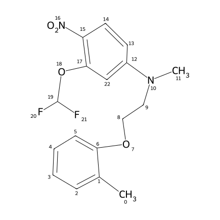 Cc1ccccc1OCCN(C)c1ccc([N+](=O)[O-])c(OC(F)F)c1